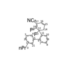 CCCc1cccc(-c2ccccc2C2(F)CC=CC(C#N)=C2F)c1